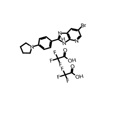 Brc1cnc2[nH]c(-c3ccc(N4CCCC4)cc3)nc2c1.O=C(O)C(F)(F)F.O=C(O)C(F)(F)F